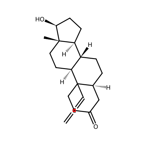 C=C=CC12CCC(=O)C[C@@H]1CC[C@@H]1[C@@H]2CC[C@]2(C)[C@@H](O)CC[C@@H]12